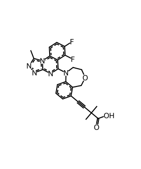 Cc1nnc2nc(N3CCOCc4c(C#CC(C)(C)C(=O)O)cccc43)c3c(F)c(F)ccc3n12